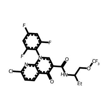 CCC(COC(F)(F)F)NC(=O)c1cn(-c2c(F)cc(F)cc2F)c2nc(Cl)ccc2c1=O